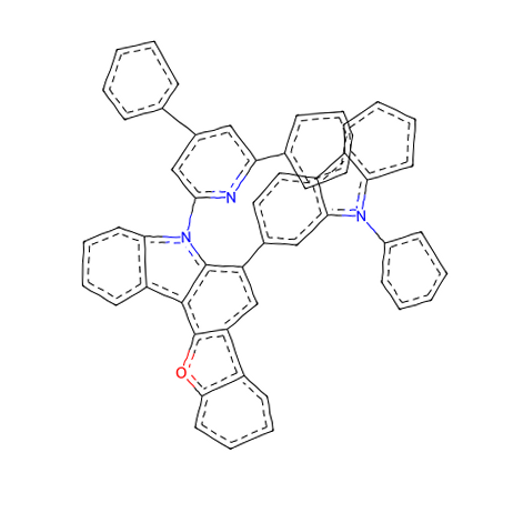 c1ccc(-c2cc(-c3ccccc3)nc(-n3c4ccccc4c4c5oc6ccccc6c5cc(-c5ccc6c7ccccc7n(-c7ccccc7)c6c5)c43)c2)cc1